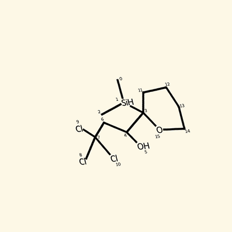 C[SiH](C)C1(C(O)CC(Cl)(Cl)Cl)CCCCO1